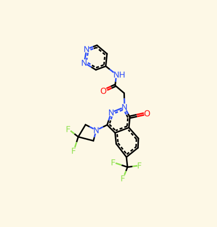 O=C(Cn1nc(N2CC(F)(F)C2)c2cc(C(F)(F)F)ccc2c1=O)Nc1ccnnc1